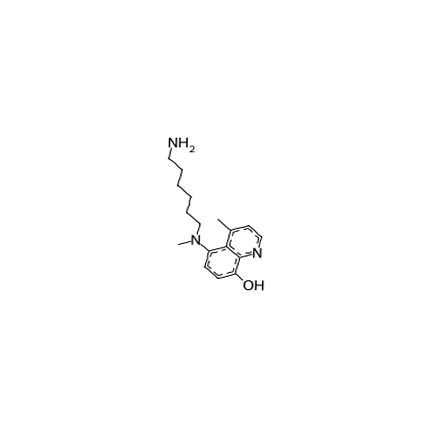 Cc1ccnc2c(O)ccc(N(C)CCCCCCN)c12